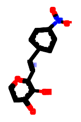 O=c1ccoc(/C=C/c2ccc([N+](=O)[O-])cc2)c1O